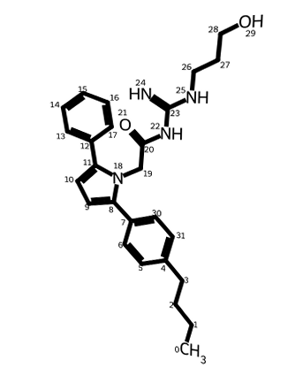 CCCCc1ccc(-c2ccc(-c3ccccc3)n2CC(=O)NC(=N)NCCCO)cc1